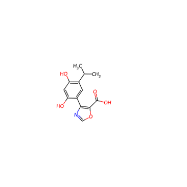 CC(C)c1cc(-c2ncoc2C(=O)O)c(O)cc1O